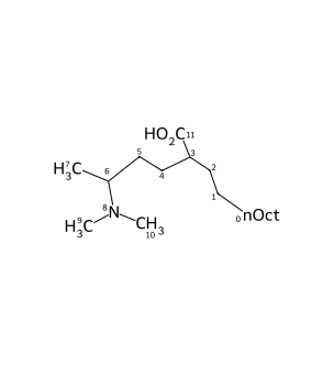 CCCCCCCCCCC(CCC(C)N(C)C)C(=O)O